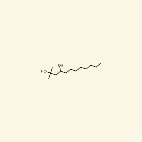 CCCCCCCCC(O)CC(C)(C)O